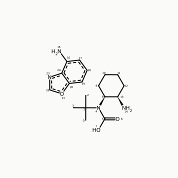 CC(C)(C)N(C(=O)O)[C@H]1CCCC[C@H]1N.Nc1cccc2ocnc12